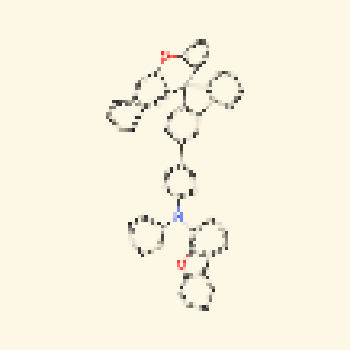 c1ccc(N(c2ccc(-c3ccc4c(c3)-c3ccccc3C43c4ccccc4Oc4cc5ccccc5cc43)cc2)c2cccc3c2oc2ccccc23)cc1